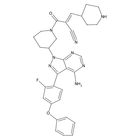 N#CC(=CC1CCNCC1)C(=O)N1CCCC(n2nc(-c3ccc(Oc4ccccc4)cc3F)c3c(N)ncnc32)C1